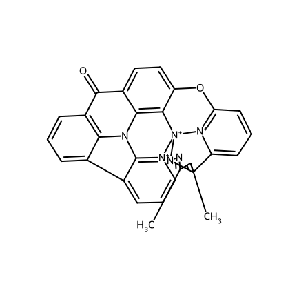 Cc1nn2c(c1C)-c1cccc3[n+]1[N+]21c2c(ccc4c(=O)c5cccc6c7ccc[n+]1c7n(c24)c56)O3